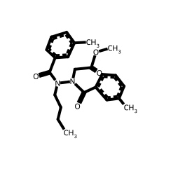 CCCCN(C(=O)c1cccc(C)c1)N(CC(=O)OC)C(=O)c1cccc(C)c1